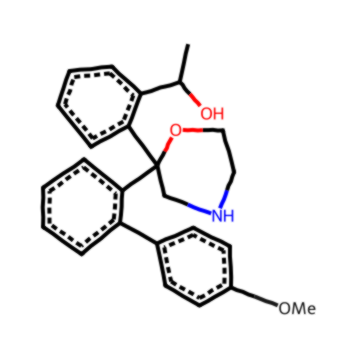 COc1ccc(-c2ccccc2C2(c3ccccc3C(C)O)CNCCO2)cc1